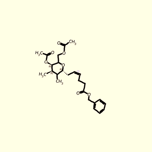 CC(=O)OCC1O[C@H](C/C=C\CCC(=O)OCc2ccccc2)C(C)[C@@H](C)[C@H]1OC(C)=O